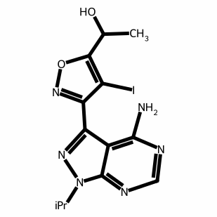 CC(O)c1onc(-c2nn(C(C)C)c3ncnc(N)c23)c1I